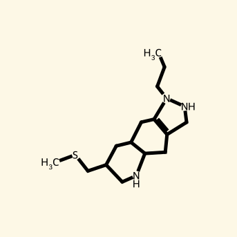 CCCN1NCC2=C1CC1CC(CSC)CNC1C2